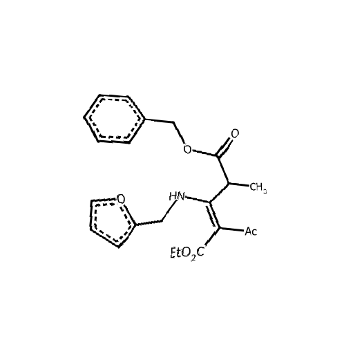 CCOC(=O)C(C(C)=O)=C(NCc1ccco1)C(C)C(=O)OCc1ccccc1